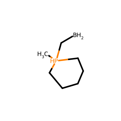 BC[PH]1(C)CCCCC1